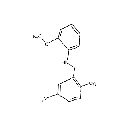 COc1ccccc1NCc1cc(N)ccc1O